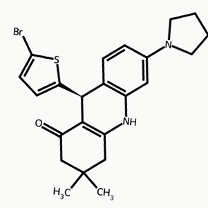 CC1(C)CC(=O)C2=C(C1)Nc1cc(N3CCCC3)ccc1[C@@H]2c1ccc(Br)s1